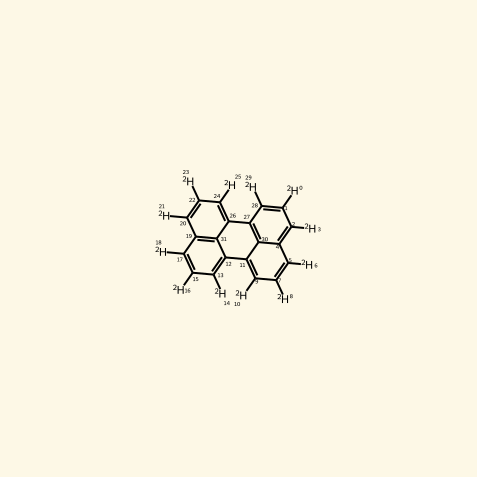 [2H]c1c([2H])c2c([2H])c([2H])c([2H])c3c4c([2H])c([2H])c([2H])c5c([2H])c([2H])c([2H])c(c(c1[2H])c23)c54